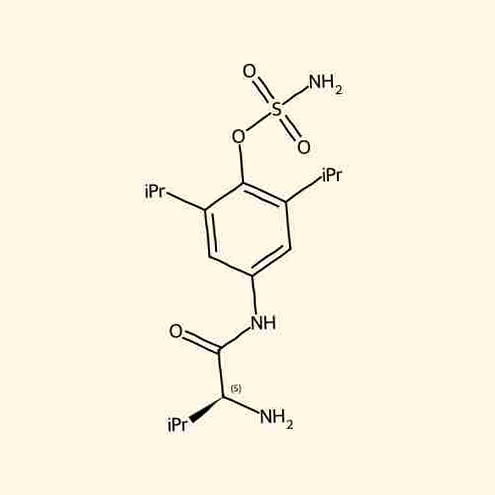 CC(C)c1cc(NC(=O)[C@@H](N)C(C)C)cc(C(C)C)c1OS(N)(=O)=O